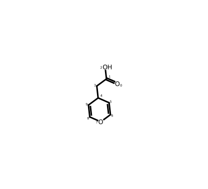 O=C(O)CC1C=COC=C1